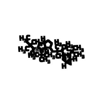 CCC(C)(C)C(=O)[C@@H]1C[C@@H]2CCC(CC(C)(C)C(=O)[C@@H]3C[C@@H]4C[C@@H]4N3C(C)(C)C)[C@@H]2N1C(C)(C)C